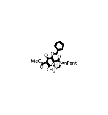 CCCCCN1CNn2c(C)c(C(=O)OC)c(=O)c(OCc3ccccc3)c2C1=O